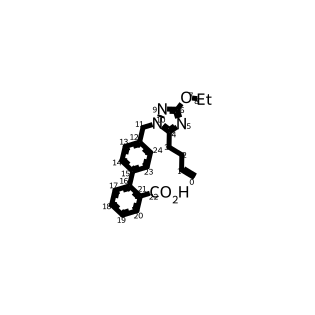 C=CCCc1nc(OCC)nn1Cc1ccc(-c2ccccc2C(=O)O)cc1